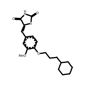 COc1cc(/C=C2\SC(=O)NC2=O)ccc1OCCCC1CCCCC1